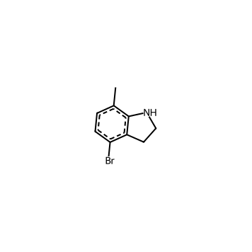 Cc1ccc(Br)c2c1NCC2